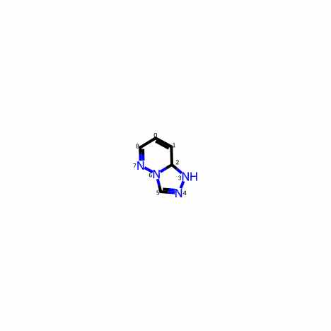 C1=CC2NN=CN2N=C1